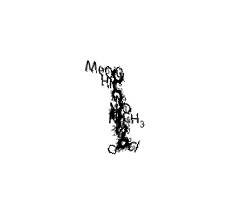 COC1COCCC1NC1CCN(C(=O)c2ncnc(N3CCN(c4cc(Cl)cc(Cl)c4)CC3)c2C)CC1